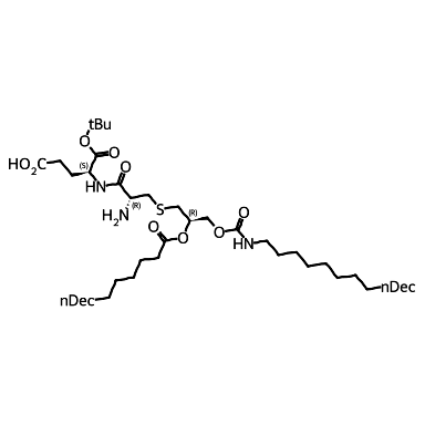 CCCCCCCCCCCCCCCCCCNC(=O)OC[C@H](CSC[C@H](N)C(=O)N[C@@H](CCC(=O)O)C(=O)OC(C)(C)C)OC(=O)CCCCCCCCCCCCCCC